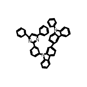 c1ccc(-c2cc(-c3ccccc3)nc(-c3cccc(-n4c5ccccc5c5ccc(-c6ccc7c(c6)c6ccccc6n7-c6ccccc6)cc54)c3)n2)cc1